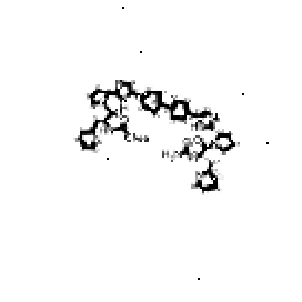 COC(=O)N[C@@H](Cc1ccccn1)C(=O)N1CCCC1c1ncc(-c2ccc(-c3ccc(-c4cnc([C@@H]5CCCN5C(=O)[C@H](Cc5ccccn5)OC(N)=O)[nH]4)cc3)cc2)[nH]1